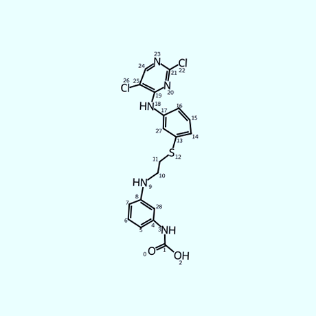 O=C(O)Nc1cccc(NCCSc2cccc(Nc3nc(Cl)ncc3Cl)c2)c1